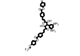 Nc1cc(N)cc(C(C(O)C(=O)/C=C/c2ccc(C(=O)Oc3ccc(OCC(F)(F)F)cc3)cc2)C(O)C(=O)/C=C/c2ccc(C(=O)Oc3ccc(OCC(F)(F)F)cc3)cc2)c1